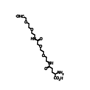 NC(CCC(=O)NCCOCCOCC(=O)NCCOCCOC[C]=O)C(=O)O